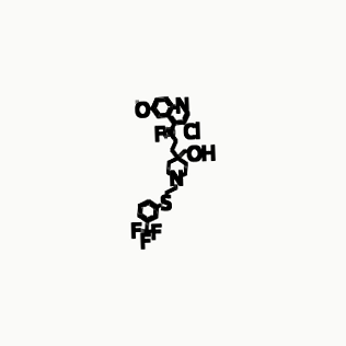 COc1ccc2ncc(Cl)c([C@@H](F)CCC3(CO)CCN(CCSc4cccc(C(F)(F)F)c4)CC3)c2c1